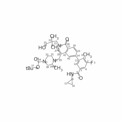 Cc1c(F)cc(C(=O)NC2CC2)cc1-c1ccc2c(=O)n(CC(C)(C)CO)cc(CN3CCN(C(=O)OC(C)(C)C)CC3C)c2c1